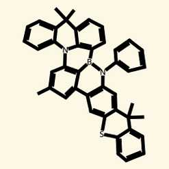 Cc1cc2c3c(c1)N1c4ccccc4C(C)(C)c4cccc(c41)B3N(c1ccccc1)c1cc3c(cc1-2)Sc1ccccc1C3(C)C